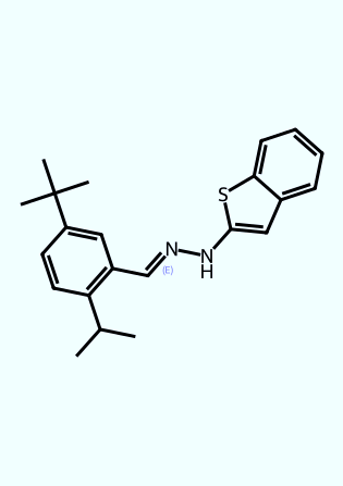 CC(C)c1ccc(C(C)(C)C)cc1/C=N/Nc1cc2ccccc2s1